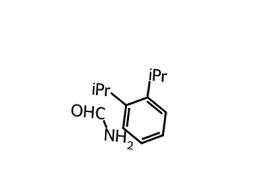 CC(C)c1ccccc1C(C)C.NC=O